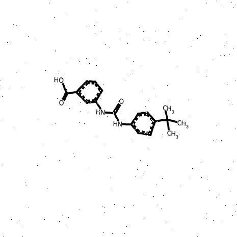 CC(C)(C)c1ccc(NC(=O)Nc2cccc(C(=O)O)c2)cc1